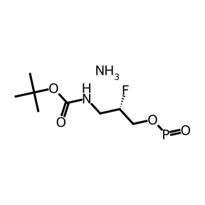 CC(C)(C)OC(=O)NC[C@H](F)COP=O.N